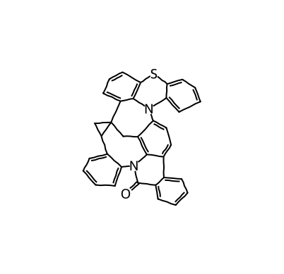 O=c1c2ccccc2c2ccc3c4c2n1-c1ccccc1C1CC1(C4)c1cccc2c1N3c1ccccc1S2